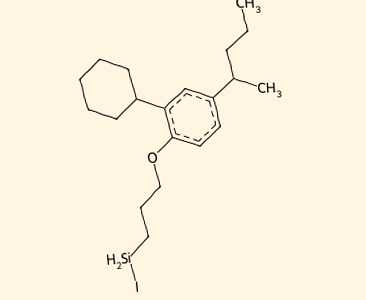 CCCC(C)c1ccc(OCCC[SiH2]I)c(C2CCCCC2)c1